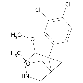 COCC12CNCC(OC)C1(c1ccc(Cl)c(Cl)c1)C2